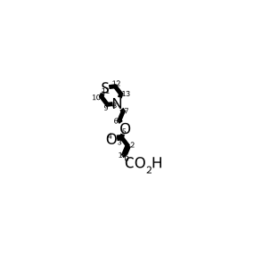 O=C(O)/C=C/C(=O)OCCN1CCSCC1